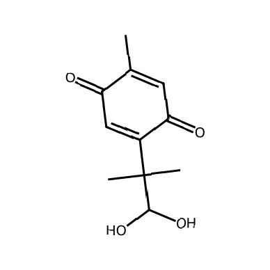 CC1=CC(=O)C(C(C)(C)C(O)O)=CC1=O